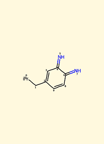 CC(C)CC1=CC(=N)C(=N)C=C1